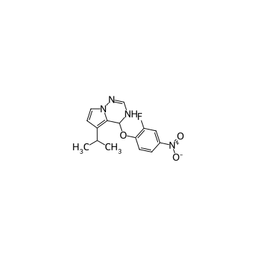 CC(C)c1ccn2c1C(Oc1ccc([N+](=O)[O-])cc1F)NC=N2